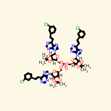 CC1(C)O[C@@H]2[C@H](O1)[C@@H](COP(=O)(OC[C@H]1O[C@@H](n3cnc4c(/C=C/c5cccc(Cl)c5)ncnc43)[C@@H]3OC(C)(C)O[C@@H]31)OC[C@H]1O[C@@H](n3cnc4c(/C=C/c5cccc(Cl)c5)ncnc43)[C@@H]3OC(C)(C)O[C@@H]31)O[C@H]2n1cnc2c(/C=C/c3cccc(Cl)c3)ncnc21